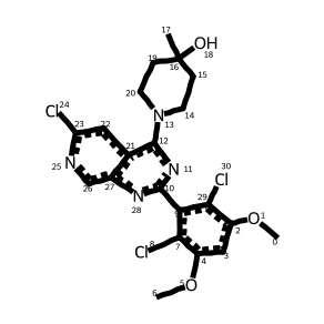 COc1cc(OC)c(Cl)c(-c2nc(N3CCC(C)(O)CC3)c3cc(Cl)ncc3n2)c1Cl